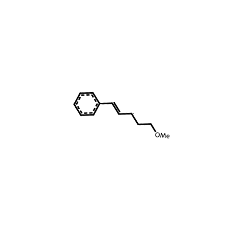 COCC[CH]C=Cc1ccccc1